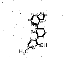 Cc1ccc(-c2cccc(-c3nccc4sccc34)c2F)c(O)n1